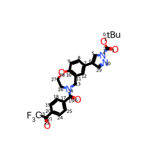 CC(C)(C)OC(=O)n1cc(-c2ccc3c(c2)CN(C(=O)c2ccc(C(=O)C(F)(F)F)cc2)CCO3)cn1